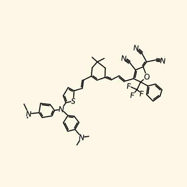 CN(C)c1ccc(N(c2ccc(N(C)C)cc2)c2ccc(/C=C/C3=CC(=C/C=C/C4=C(C#N)C(=C(C#N)C#N)OC4(c4ccccc4)C(F)(F)F)/CC(C)(C)C3)s2)cc1